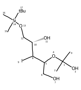 CC(C)(O)OC(CO)C(I)[C@@H](O)CO[Si](C)(C)C(C)(C)C